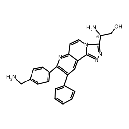 NCc1ccc(-c2nc3ccn4c([C@@H](N)CO)nnc4c3cc2-c2ccccc2)cc1